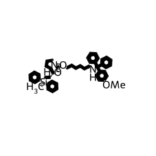 COc1ccc(C(NCCCCCCOP2O[C@H](CC[Si](C)(c3ccccc3)c3ccccc3)[C@@H]3CCCN32)(c2ccccc2)c2ccccc2)cc1